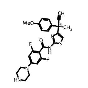 C#C[C@@](C)(c1ccc(OC)cc1)c1csc(NC(=O)c2c(F)cc(N3CCNCC3)cc2F)n1